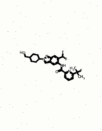 CC(C)(F)c1cccc(C(=O)Nc2cc3cn(C4CCC(CO)CC4)nc3cc2C(F)F)n1